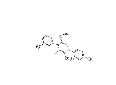 CCCCSC1=NC(c2ccc(C#N)cc2)C(C(=O)OCC)=C(C)N1c1cccc(C(F)(F)F)c1